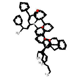 C=C/C(=C\C(=C/C(C)c1ccccc1)N(c1ccc(-c2cc(/C=C/C=C\C=C/C)cc(-c3ccccc3)c2)cc1)c1ccccc1-c1cccc(-c2cccc3c2c2c(n3C(/C=C\C)=C/C)CC=CC=C2)c1)c1ccccc1